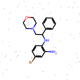 Nc1cc(Br)ccc1NC(CN1CCOCC1)c1ccccc1